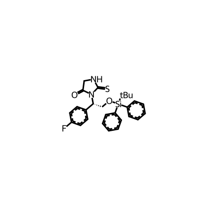 CC(C)(C)[Si](OC[C@H](c1ccc(F)cc1)N1C(=O)CNC1=S)(c1ccccc1)c1ccccc1